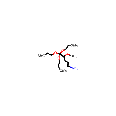 COCCOC(OCCOC)(OCCOC)C(CCCN)O[SiH3]